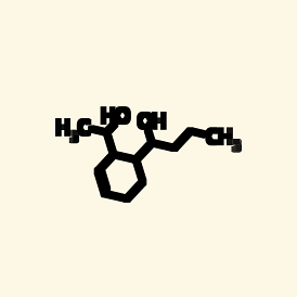 CCCC(O)C1CCC=CC1C(C)O